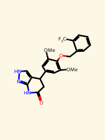 COc1cc(C2CC(=O)Nc3n[nH]cc32)cc(OC)c1OCc1ccccc1C(F)(F)F